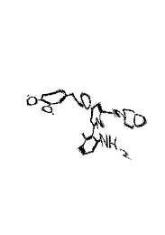 COc1ccc(CCOc2cc(-c3c(C)cccc3N)nc(N3CCOCC3)c2)cc1OC